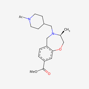 COC(=O)c1ccc2c(c1)OC[C@H](C)N(CC1CCN(C(C)=O)CC1)C2